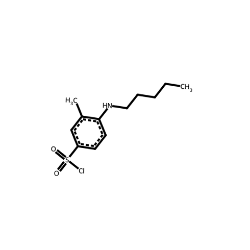 CCCCCNc1ccc(S(=O)(=O)Cl)cc1C